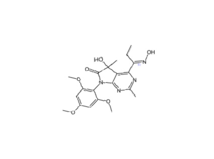 CC/C(=N\O)c1nc(C)nc2c1C(C)(O)C(=O)N2c1c(OC)cc(OC)cc1OC